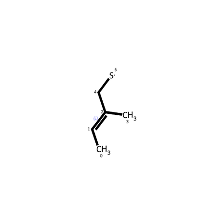 C/C=C(\C)C[S]